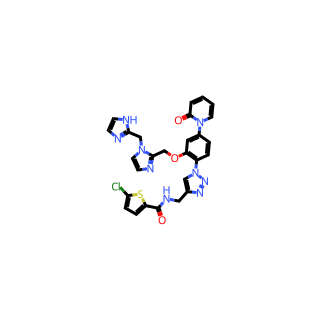 O=C(NCc1cn(-c2ccc(-n3ccccc3=O)cc2OCc2nccn2Cc2ncc[nH]2)nn1)c1ccc(Cl)s1